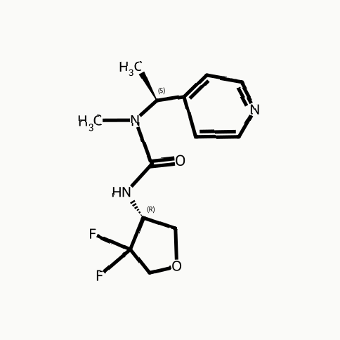 C[C@@H](c1ccncc1)N(C)C(=O)N[C@@H]1COCC1(F)F